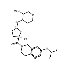 COC1COCCC1N[C@@H]1CC[C@@](C(=O)N2CCc3ncc(OC(F)F)cc3C2)(C(C)C)C1